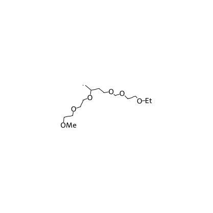 [CH2]C(CCOCOCCOCC)OCCOCCOC